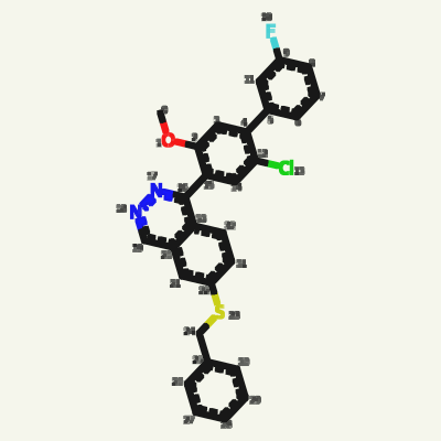 COc1cc(-c2cccc(F)c2)c(Cl)cc1-c1nncc2cc(SCc3ccccc3)ccc12